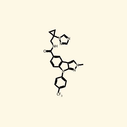 Cn1cc2c3cc(C(=O)NCC4(n5cncn5)CC4)ccc3n(-c3ccc(C(F)(F)F)cc3)c2n1